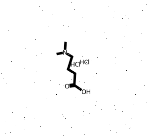 CN(C)CCCC(=O)O.Cl.Cl